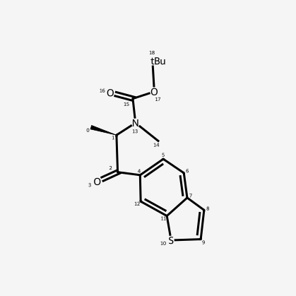 C[C@H](C(=O)c1ccc2ccsc2c1)N(C)C(=O)OC(C)(C)C